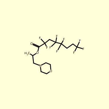 CC(CN1CCOCC1)OC(=O)C(F)(F)CC(F)(F)C(F)(F)CCC(F)(F)F